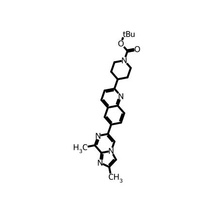 Cc1cn2cc(-c3ccc4nc(C5CCN(C(=O)OC(C)(C)C)CC5)ccc4c3)nc(C)c2n1